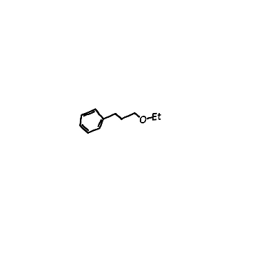 CCOCCCc1ccccc1